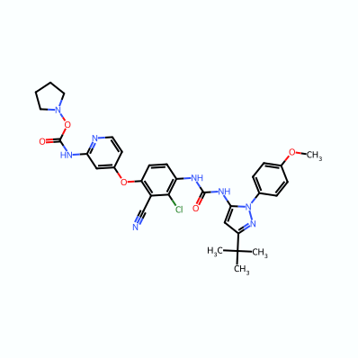 COc1ccc(-n2nc(C(C)(C)C)cc2NC(=O)Nc2ccc(Oc3ccnc(NC(=O)ON4CCCC4)c3)c(C#N)c2Cl)cc1